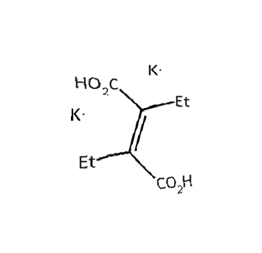 CCC(C(=O)O)=C(CC)C(=O)O.[K].[K]